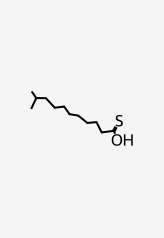 CC(C)CCCCCCCCC(O)=S